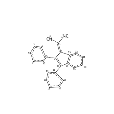 [C-]#[N+]C([N+]#[C-])=C1C(c2ccccc2)=C(c2ccccc2)c2ccccc21